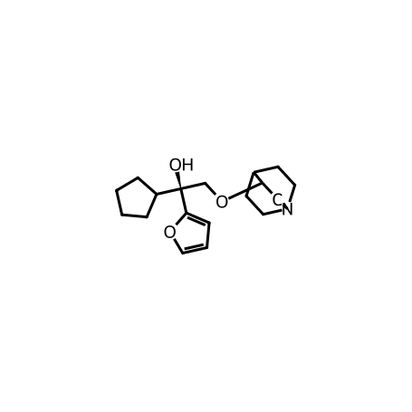 O[C@@](COC1CN2CCC1CC2)(c1ccco1)C1CCCC1